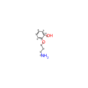 NCCCOc1ccccc1O